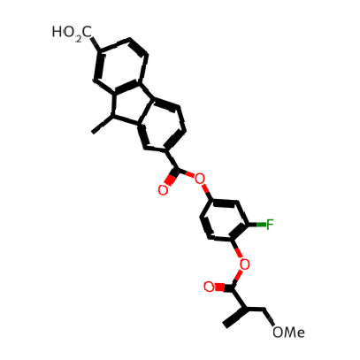 C=C(COC)C(=O)Oc1ccc(OC(=O)c2ccc3c(c2)C(C)c2cc(C(=O)O)ccc2-3)cc1F